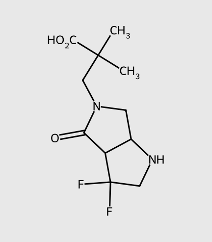 CC(C)(CN1CC2NCC(F)(F)C2C1=O)C(=O)O